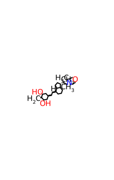 C=C1[C@H](O)CC(=C/C=C2\CCC[C@]3(C)[C@@H](C(C)CN4CCOC[C@@H]4C)CC[C@@H]23)C[C@H]1O